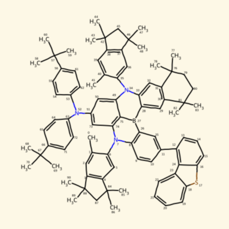 Cc1cc2c(cc1N1c3ccc(-c4cccc5sc6ccccc6c45)cc3B3c4cc5c(cc4N(c4cc6c(cc4C)C(C)(C)CC6(C)C)c4cc(N(c6ccc(C(C)(C)C)cc6)c6ccc(C(C)(C)C)cc6)cc1c43)C(C)(C)CCC5(C)C)C(C)(C)CC2(C)C